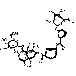 C[C@@H]1[C@H]2[C@H](O[C@@H]3O[C@H](CO)[C@@H](O)[C@H](O)[C@H]3O)OC=C(C(=O)O)[C@H]2C[C@H]1OC(=O)c1cccc(OC(=O)c2cccc(O[C@@H]3O[C@H](CO)[C@@H](O)[C@H](O)[C@H]3O)c2)c1